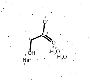 O.O.O=S([O-])CO.[Na+]